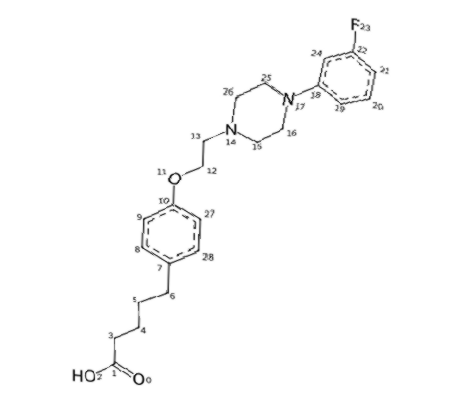 O=C(O)CCCCc1ccc(OCCN2CCN(c3cccc(F)c3)CC2)cc1